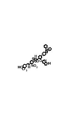 CC(C)c1ccccc1[C@@H]1CCCN1C1CC2(CCN(c3ccc(C(=O)NS(=O)(=O)c4ccc(NCC5CCC(O)(C(F)(F)F)CC5)c([N+](=O)[O-])c4)c(Oc4cnc5[nH]ccc5c4)c3)CC2)C1